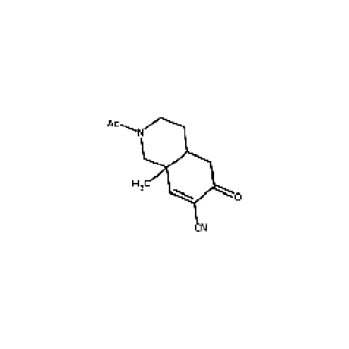 CC(=O)N1CCC2CC(=O)C(C#N)=CC2(C)C1